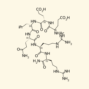 CC(=O)N[C@@H](CCC(=O)O)C(=O)N[C@@H](CCC(=O)O)C(=O)N[C@@H](CC(C)C)C(=O)N[C@@H](CCC(N)=O)C(=O)N[C@@H](CCCNC(=N)N)C(=O)N[C@@H](CCCNC(=N)N)C(N)=O